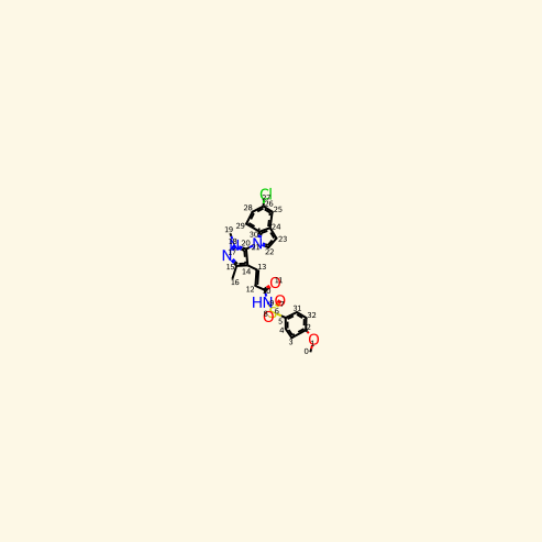 COc1ccc(S(=O)(=O)NC(=O)C=Cc2c(C)nn(C)c2-n2ccc3cc(Cl)ccc32)cc1